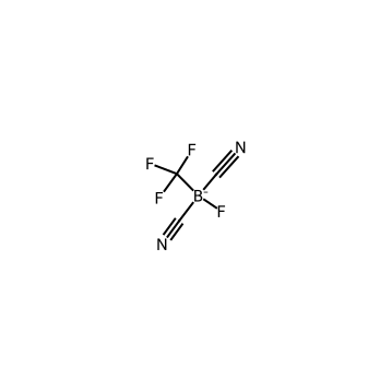 N#C[B-](F)(C#N)C(F)(F)F